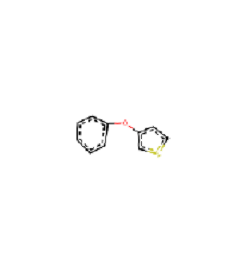 [c]1cc(Oc2ccccc2)cs1